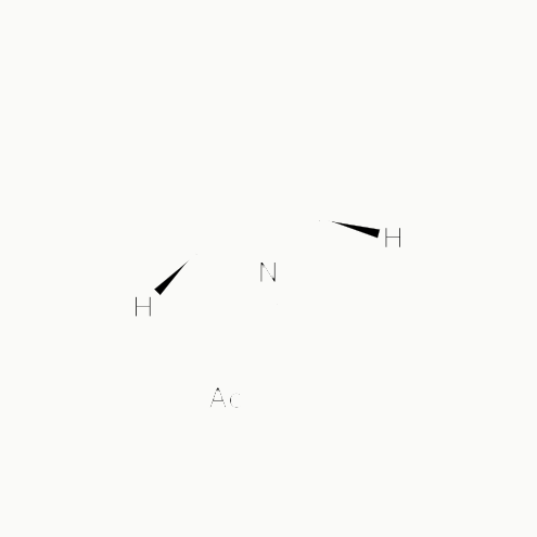 CC(=O)CN1[C@@H]2CCC[C@H]1CC2